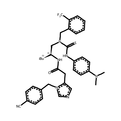 CC[C@H](C)[C@@H](CN(Cc1ccccc1C(F)(F)F)C(=S)Nc1ccc(N(C)C)cc1)NC(=O)Cc1cncn1Cc1ccc(C#N)cc1